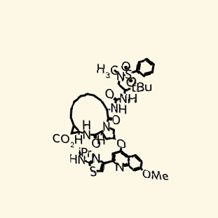 COc1ccc2c(O[C@@H]3C[C@H]4C(=O)N[C@]5(C(=O)O)CC5CCCCCCC[C@H](NC(=O)NC(CN(C)S(=O)(=O)c5ccccc5)C(C)(C)C)C(=O)N4C3)cc(-c3csc(NC(C)C)n3)nc2c1